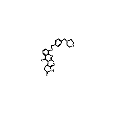 Cc1nc2c(OCc3ccc(CN4CCOCC4)cc3)cccc2c(=O)n1C1CCC(=O)NC1=O